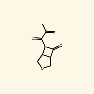 C=C(C)C(=O)N1C(=O)C2COCC21